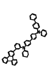 C1=CC(N(c2ccc(-c3ccc(N(c4ccccc4)c4ccc(-c5ccccc5)cc4)cc3)cc2)c2cccc(-c3ccc4c5ccccc5c5ccccc5c4c3)c2)=CCC1